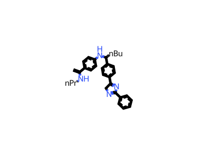 C=C(NCCC)c1ccc(NC(CCCC)c2ccc(C3=NC(c4ccccc4)=NC3)cc2)cc1